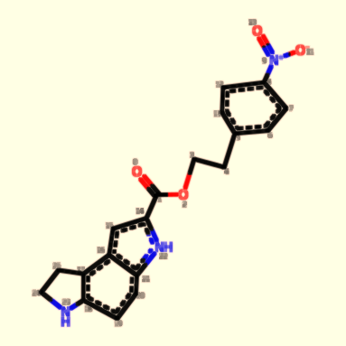 O=C(OCCc1ccc([N+](=O)[O-])cc1)c1cc2c3c(ccc2[nH]1)NCC3